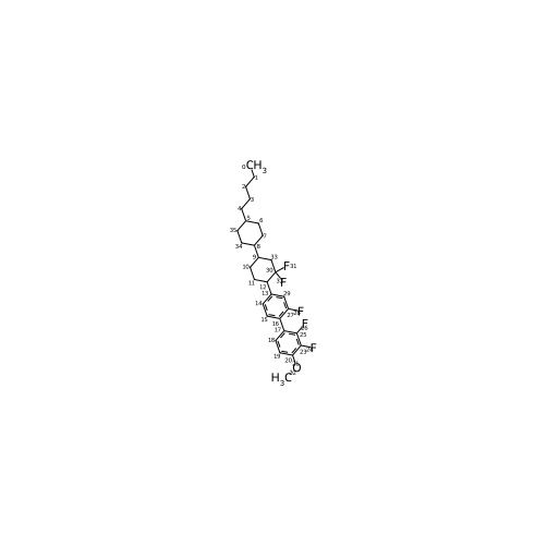 CCCCCC1CCC(C2CCC(c3ccc(-c4ccc(OC)c(F)c4F)c(F)c3)C(F)(F)C2)CC1